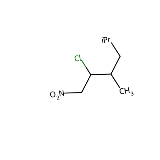 CC(C)CC(C)C(Cl)C[N+](=O)[O-]